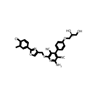 [C-]#[N+]c1c(N)nc(SCc2coc(-c3ccc(Cl)c(C)c3)n2)c(C#N)c1-c1ccc(OC[C@@H](O)CO)cc1